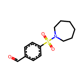 O=Cc1ccc(S(=O)(=O)N2CCCCCC2)cc1